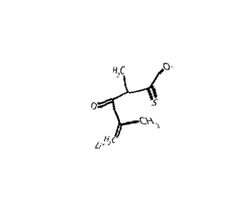 C=C(C)C(=O)C(C)C([O-])=S.[Li+]